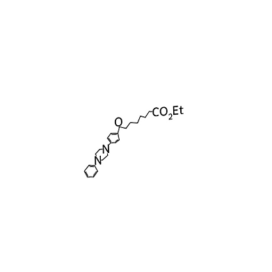 CCOC(=O)CCCCCCC(=O)c1ccc(N2CCN(c3ccccc3)CC2)cc1